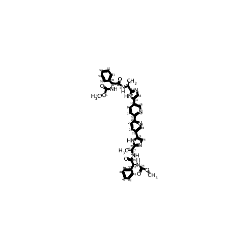 COC(=O)N[C@@H](C(=O)N[C@@H](C)c1ncc(-c2ccc(-c3ccc(-c4cnc([C@H](C)NC(=O)[C@H](NC(=O)OC)c5ccccc5)[nH]4)cn3)nc2)[nH]1)c1ccccc1